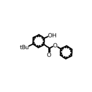 CC(C)(C)c1ccc(O)c(C(=O)Oc2ccccc2)c1